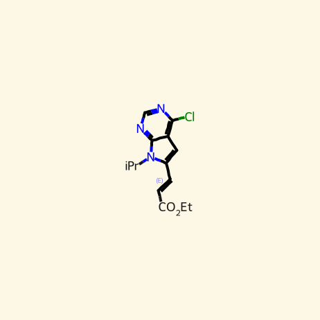 CCOC(=O)/C=C/c1cc2c(Cl)ncnc2n1C(C)C